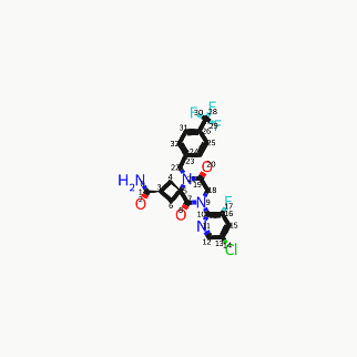 NC(=O)[C@H]1C[C@]2(C1)C(=O)N(c1ncc(Cl)cc1F)CC(=O)N2Cc1ccc(C(F)(F)F)cc1